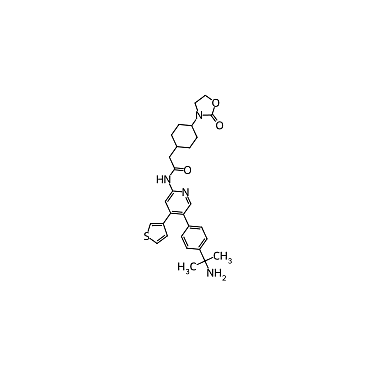 CC(C)(N)c1ccc(-c2cnc(NC(=O)CC3CCC(N4CCOC4=O)CC3)cc2-c2ccsc2)cc1